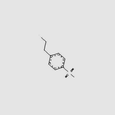 NCCc1ccc(S(=O)(=O)C(F)(F)F)cc1